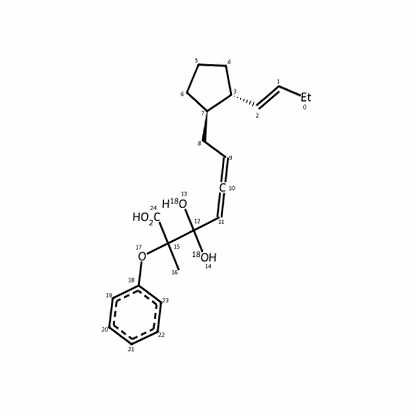 CC/C=C/[C@H]1CCC[C@@H]1CC=C=CC([18OH])([18OH])C(C)(Oc1ccccc1)C(=O)O